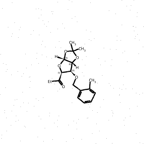 CCC(=O)[C@H]1O[C@@H]2OC(C)(C)O[C@@H]2[C@H]1OCc1ccccc1C